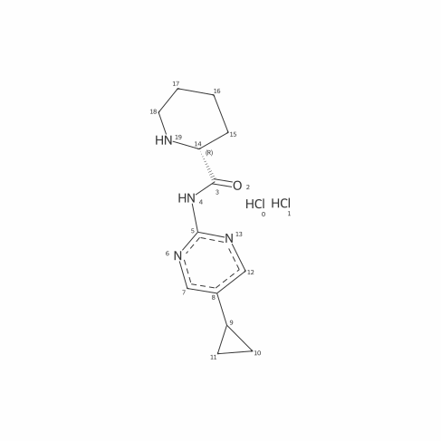 Cl.Cl.O=C(Nc1ncc(C2CC2)cn1)[C@H]1CCCCN1